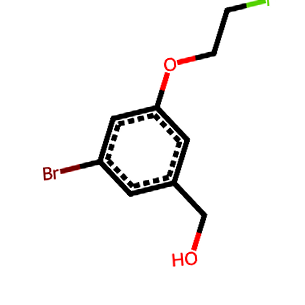 OCc1cc(Br)cc(OCCF)c1